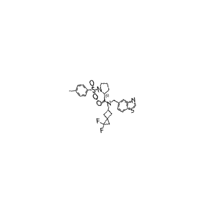 Cc1ccc(S(=O)(=O)N2CCC[C@H]2C(=O)N(Cc2ccc3scnc3c2)C2CC3(C2)CC3(F)F)cc1